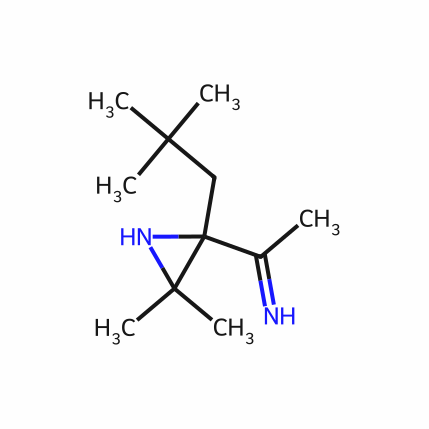 CC(=N)C1(CC(C)(C)C)NC1(C)C